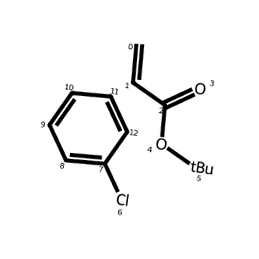 C=CC(=O)OC(C)(C)C.Clc1ccccc1